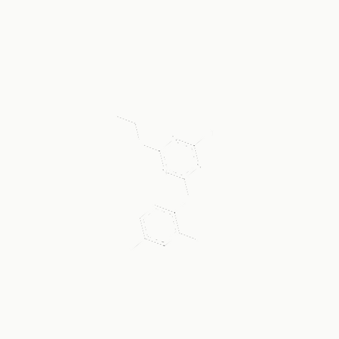 CCOc1nc(Cl)nc(Oc2ccc(Cl)cc2Cl)n1